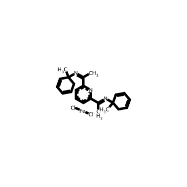 CC(=NC1(C)C=CC=CC1)c1cccc(C(C)=NC2(C)C=CC=CC2)n1.[Cl][Fe][Cl]